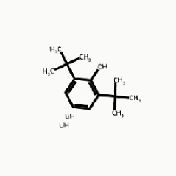 CC(C)(C)c1cccc(C(C)(C)C)c1O.[LiH].[LiH]